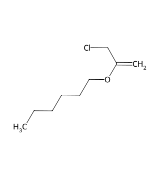 C=C(CCl)OCCCCCC